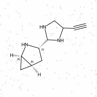 C#CC1CNC([C@@H]2C[C@H]3C[C@H]3N2)N1